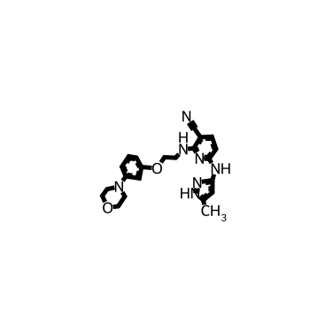 Cc1cc(Nc2ccc(C#N)c(NCCOc3cccc(N4CCOCC4)c3)n2)n[nH]1